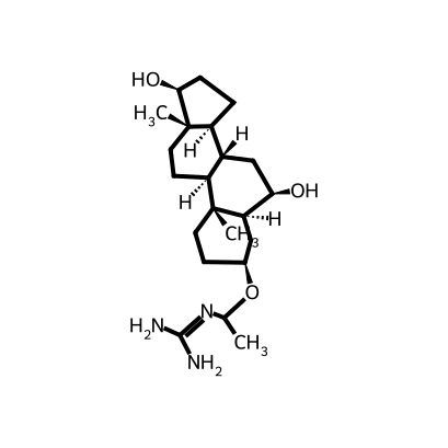 CC(N=C(N)N)O[C@H]1CC[C@@]2(C)[C@H](C1)[C@H](O)C[C@@H]1[C@@H]2CC[C@]2(C)[C@@H](O)CC[C@@H]12